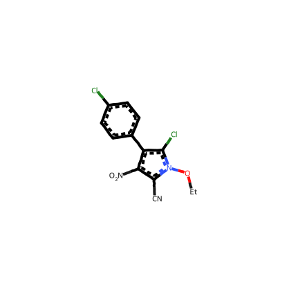 CCOn1c(Cl)c(-c2ccc(Cl)cc2)c([N+](=O)[O-])c1C#N